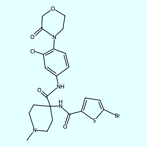 CN1CCC(NC(=O)c2ccc(Br)s2)(C(=O)Nc2ccc(N3CCOCC3=O)c(Cl)c2)CC1